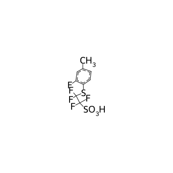 Cc1ccc(SC(F)(F)C(F)(F)S(=O)(=O)O)c(F)c1